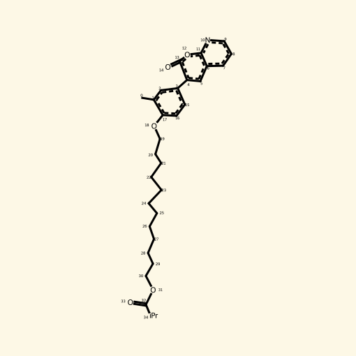 Cc1cc(-c2cc3cccnc3oc2=O)ccc1OCCCCCCCCCCCCOC(=O)C(C)C